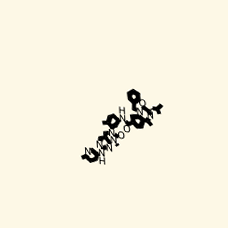 CC1=CCC(NC(=O)c2ccc3c(c2)N(Cc2ccccc2)C(=O)[C@H](CC(C)C)N=C3C)C=C1N1CC2C=NC(NC3=CN=C(C)CC3)=NC2N(C)C1=O